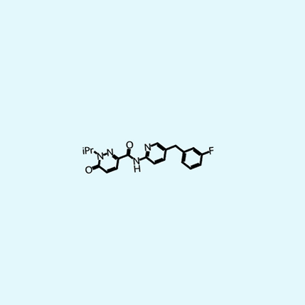 CC(C)n1nc(C(=O)Nc2ccc(Cc3cccc(F)c3)cn2)ccc1=O